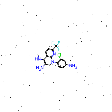 CNC1=C(N)CN(c2ccc(N)cc2Cl)c2nc(C(F)(F)F)ccc21